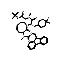 CN(CC(=O)OC(C)(C)C)C(=O)[C@H](CC1CCC(F)(F)CC1)N1CC/C=C\C[C@H](N(C)C(=O)OCC2c3ccccc3-c3ccccc32)C1=O